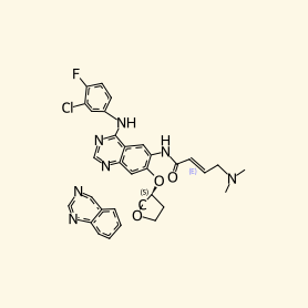 CN(C)C/C=C/C(=O)Nc1cc2c(Nc3ccc(F)c(Cl)c3)ncnc2cc1O[C@H]1CCOC1.c1ccc2ncncc2c1